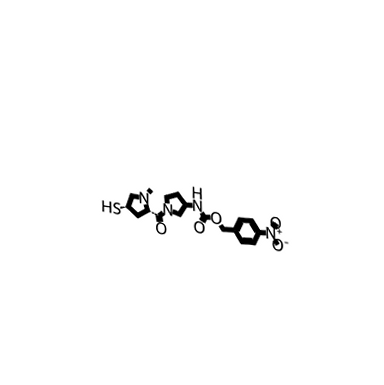 CN1C[C@@H](S)C[C@H]1C(=O)N1CCC(NC(=O)OCc2ccc([N+](=O)[O-])cc2)C1